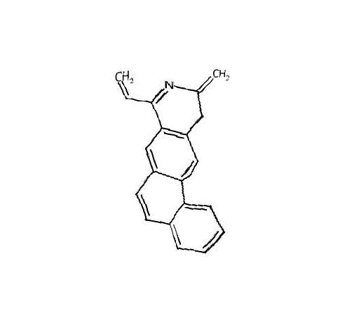 C=CC1=NC(=C)Cc2cc3c(ccc4ccccc43)cc21